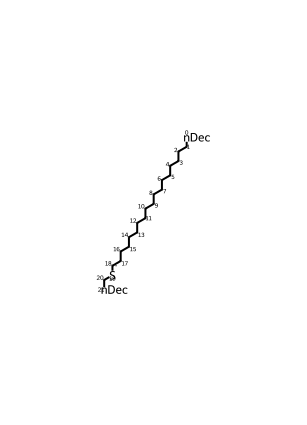 CCCCCCCCCCCCCCCCCCCCCCCCCCC[CH]SCCCCCCCCCCC